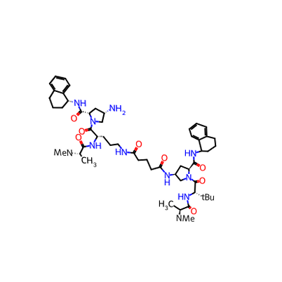 CN[C@@H](C)C(=O)N[C@@H](CCCNC(=O)CCCC(=O)N[C@H]1C[C@@H](C(=O)NC2CCCc3ccccc32)N(C(=O)[C@@H](NC(=O)[C@H](C)NC)C(C)(C)C)C1)C(=O)N1C[C@@H](N)C[C@H]1C(=O)N[C@@H]1CCCc2ccccc21